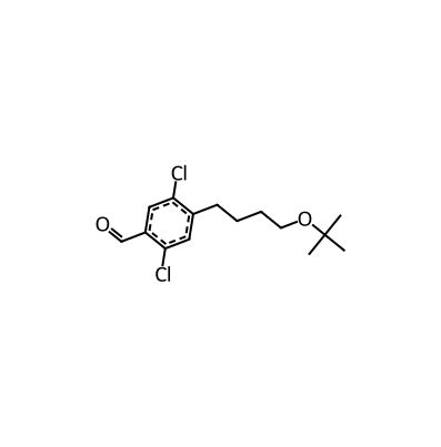 CC(C)(C)OCCCCc1cc(Cl)c(C=O)cc1Cl